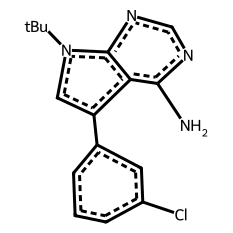 CC(C)(C)n1cc(-c2cccc(Cl)c2)c2c(N)ncnc21